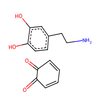 NCCc1ccc(O)c(O)c1.O=C1C=CC=CC1=O